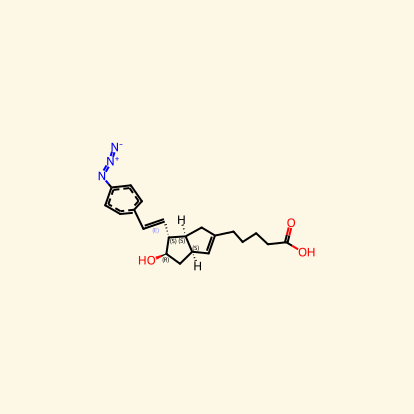 [N-]=[N+]=Nc1ccc(/C=C/[C@@H]2[C@H]3CC(CCCCC(=O)O)=C[C@H]3C[C@H]2O)cc1